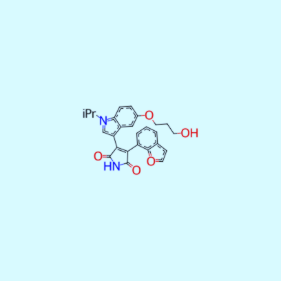 CC(C)n1cc(C2=C(c3cccc4ccoc34)C(=O)NC2=O)c2cc(OCCCO)ccc21